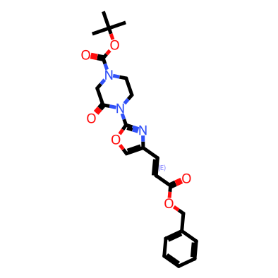 CC(C)(C)OC(=O)N1CCN(c2nc(/C=C/C(=O)OCc3ccccc3)co2)C(=O)C1